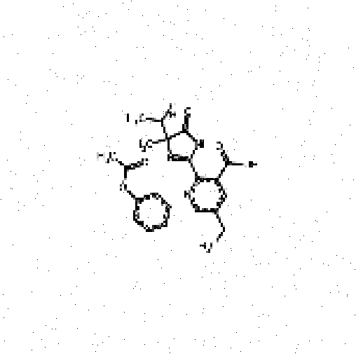 CC(=O)Oc1ccccc1.CCc1cnc(C2=NC(C)(C(C)C)C(=O)N2)c(C(=O)O)c1